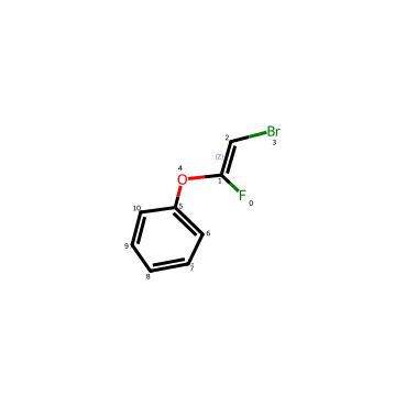 F/C(=C\Br)Oc1c[c]ccc1